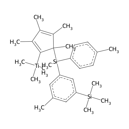 CC1=C(C)C(C)([Si](C)(c2ccc(C)cc2)c2cc(C)cc([Si](C)(C)C)c2)[C]([Ti]([CH3])([CH3])[CH3])=C1C